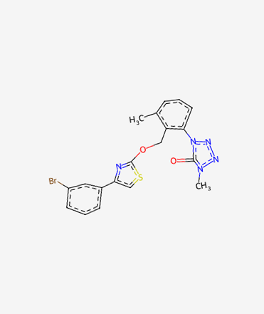 Cc1cccc(-n2nnn(C)c2=O)c1COc1nc(-c2cccc(Br)c2)cs1